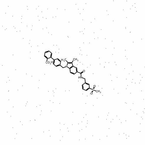 Cc1c(C)n(Cc2ccc(-c3ccccc3C(=O)O)cc2)c2ccc(C(=O)NCc3cccc(S(C)(=O)=O)c3)cc12